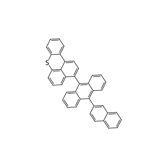 c1ccc2c(c1)Sc1cccc3c(-c4c5ccccc5c(-c5ccc6ccccc6c5)c5ccccc45)ccc-2c13